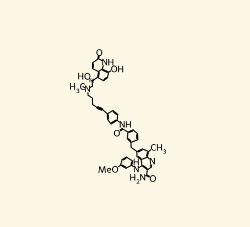 COc1cccc(Nc2c(C(N)=O)cnc3c(C)cc(Cc4cccc(C(=O)Nc5ccc(C#CCCCN(C)C[C@H](O)c6ccc(O)c7[nH]c(=O)ccc67)cc5)c4)cc23)c1